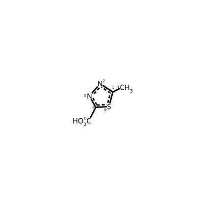 Cc1nnc(C(=O)O)s1